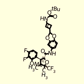 COc1c([C@H]2[C@H](C(=O)Nc3ccc4c(c3)OC(C35CC(NC(=O)OC(C)(C)C)(C3)C5)O4)O[C@@](C)(C(F)(F)F)[C@H]2C)ccc(F)c1F